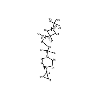 CN(CCC(C)(C)C1CCN(C2CC2)CC1)C1(C)CN(C(C)(C)C)C1